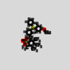 Cc1cc(OC(C)(C)C)cc(C)c1[S+](c1ccccc1)c1ccccc1.O=S(=O)([O-])c1c(C(F)(F)F)c(C(F)(F)F)c(C(F)(F)F)c(C(F)(F)F)c1C(F)(F)F